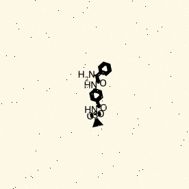 N[C@H](C(=O)Nc1ccc(C(=O)NS(=O)(=O)C2CC2)cc1)c1ccccc1